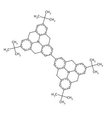 CC(C)(C)c1cc2c3c(c1)Cc1cc(C(C)(C)C)cc4c1N3c1c(cc(-c3cc5c6c(c3)Cc3cc(C(C)(C)C)cc7c3N6c3c(cc(C(C)(C)C)cc3C7)C5)cc1C4)C2